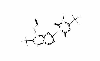 C=CCn1c(C(F)(F)F)nc2ccc(-n3c(=O)cc(C(F)(F)F)n(C)c3=O)cc21